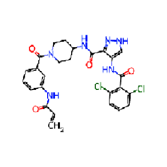 C=CC(=O)Nc1cccc(C(=O)N2CCC(NC(=O)c3n[nH]cc3NC(=O)c3c(Cl)cccc3Cl)CC2)c1